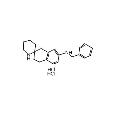 Cl.Cl.c1ccc(CNc2ccc3c(c2)CC2(CCCCN2)CC3)cc1